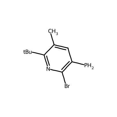 Cc1cc(P)c(Br)nc1C(C)(C)C